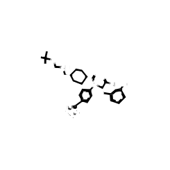 CC(C)(C)OC(=O)NC[C@H]1CC[C@H](C(=O)N(c2ccc(-c3nnn[nH]3)cc2)[C@@H](Cc2cccc(Br)c2)C(N)=O)CC1